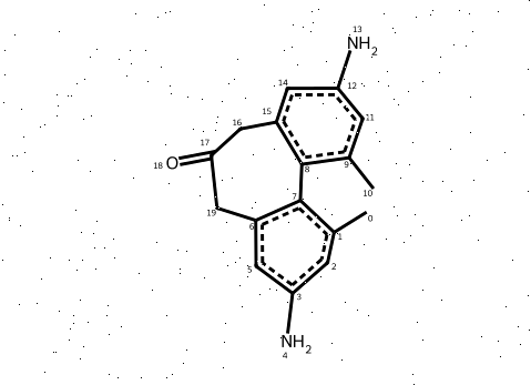 Cc1cc(N)cc2c1-c1c(C)cc(N)cc1CC(=O)C2